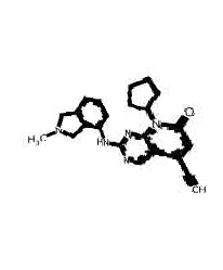 C#Cc1cc(=O)n(C2CCCC2)c2nc(Nc3cccc4c3CN(C)C4)ncc12